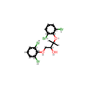 CC(C)(Oc1c(Br)cccc1Br)C(O)COc1c(Br)cccc1Br